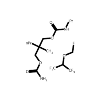 CCCC(C)(COC(N)=O)COC(=O)NC(C)C.FCOC(C(F)(F)F)C(F)(F)F